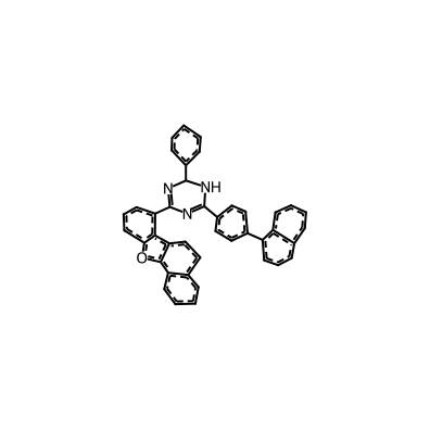 c1ccc(C2N=C(c3cccc4oc5c6ccccc6ccc5c34)N=C(c3ccc(-c4cccc5ccccc45)cc3)N2)cc1